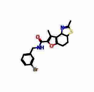 CC1=NC2c3c(oc(C(=O)NCc4cccc(Br)c4)c3C)CCC2S1